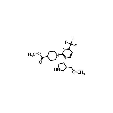 COC[C@H]1CNC[C@@H]1c1ccc(C(F)(F)F)nc1N1CCC(C(=O)OC)CC1